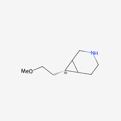 COCC[C@H]1C2CCNCC21